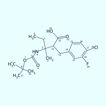 CCC(C)(NC(=O)OC(C)(C)C)C(Cc1ccc(Cl)c(F)c1)C(=O)O